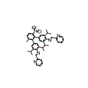 Cc1ccc([N+](=O)[O-])c(-c2cc(C(C)C)c(N=Cc3ccccn3)c(C(C)C)c2)c1-c1cc(C(C)C)c(N=Cc2ccccn2)c(C(C)C)c1